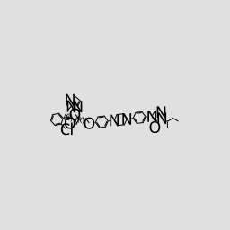 CCC(C)n1ncn(-c2ccc(N3CCN(c4ccc(OC[C@@H]5CO[C@@](Cn6nccn6)(c6ccccc6Cl)O5)cc4)CC3)cc2)c1=O